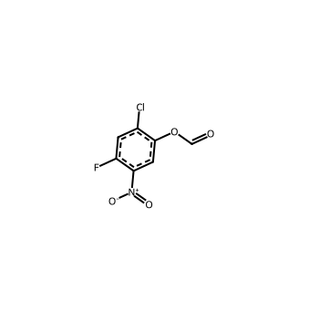 O=COc1cc([N+](=O)[O-])c(F)cc1Cl